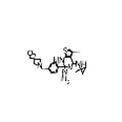 Cc1csc2c1C(NC1(C)CC1)=NC(N)(c1ccc(CN3CC4(COC4)C3)cc1)N2